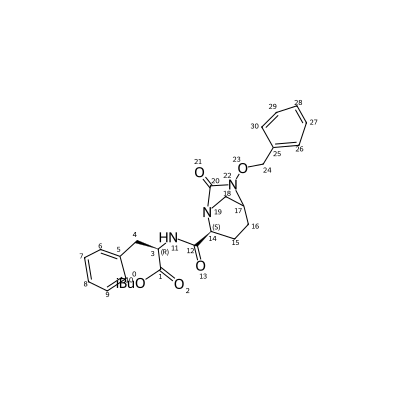 CC(C)COC(=O)[C@@H](Cc1ccccc1)NC(=O)[C@@H]1CCC2CN1C(=O)N2OCc1ccccc1